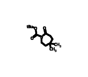 CC1(C)CCC(=O)N(C(=O)OC(C)(C)C)CC1